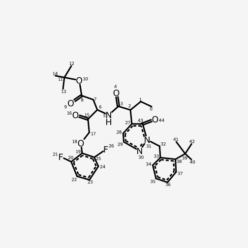 CCC(C(=O)NC(CC(=O)OC(C)(C)C)C(=O)COc1c(F)cccc1F)c1ccnn(Cc2ccccc2C(C)(C)C)c1=O